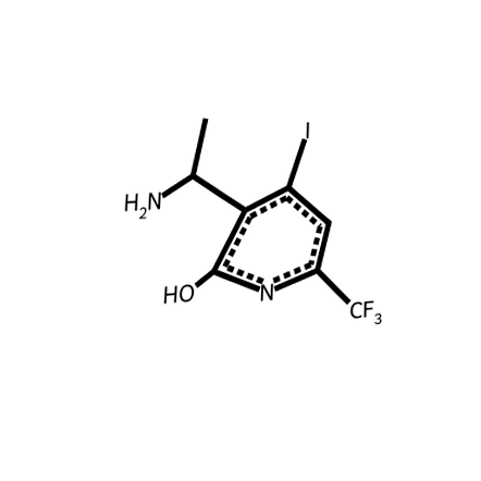 CC(N)c1c(I)cc(C(F)(F)F)nc1O